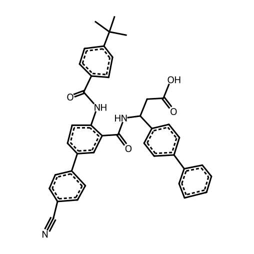 CC(C)(C)c1ccc(C(=O)Nc2ccc(-c3ccc(C#N)cc3)cc2C(=O)NC(CC(=O)O)c2ccc(-c3ccccc3)cc2)cc1